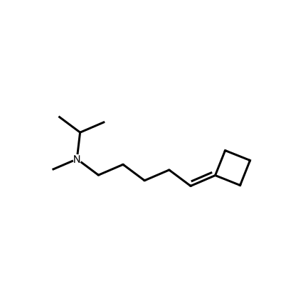 CC(C)N(C)CCCCC=C1CCC1